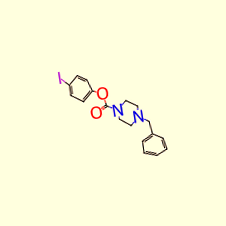 O=C(Oc1ccc(I)cc1)N1CCN(Cc2ccccc2)CC1